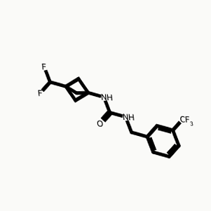 O=C(NCc1cccc(C(F)(F)F)c1)NC12CC(C(F)F)(C1)C2